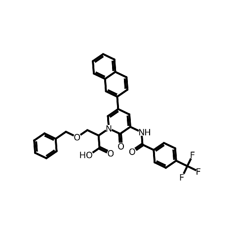 O=C(Nc1cc(-c2ccc3ccccc3c2)cn(C(COCc2ccccc2)C(=O)O)c1=O)c1ccc(C(F)(F)F)cc1